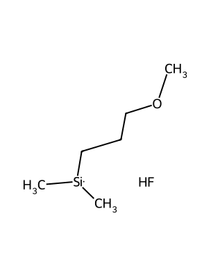 COCCC[Si](C)C.F